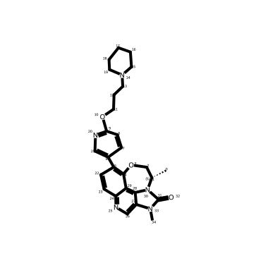 C[C@H]1COc2c(-c3ccc(OCCCN4CCCCC4)nc3)ccc3ncc4c(c23)n1c(=O)n4C